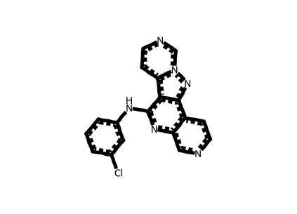 Clc1cccc(Nc2nc3cnccc3c3nn4cnccc4c23)c1